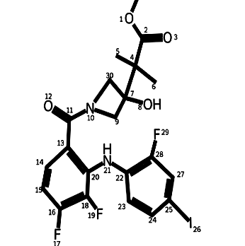 COC(=O)C(C)(C)C1(O)CN(C(=O)c2ccc(F)c(F)c2Nc2ccc(I)cc2F)C1